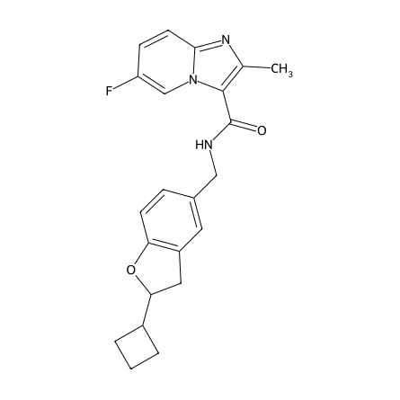 Cc1nc2ccc(F)cn2c1C(=O)NCc1ccc2c(c1)CC(C1CCC1)O2